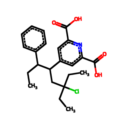 CCC(c1ccccc1)C(CC(Cl)(CC)CC)c1cc(C(=O)O)nc(C(=O)O)c1